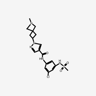 CN1CC2(CC(n3cc(C(=O)Nc4cc(Cl)cc(NS(C)(=O)=O)c4)cn3)C2)C1